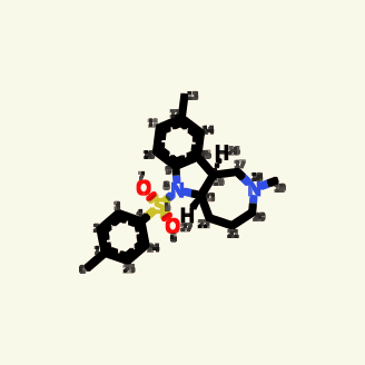 Cc1ccc(S(=O)(=O)N2c3ccc(C)cc3[C@H]3CN(C)CCC[C@@H]32)cc1